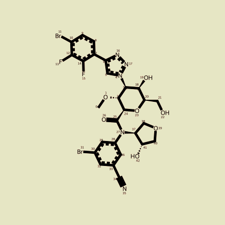 CO[C@@H]1[C@@H](n2cc(-c3ccc(Br)c(F)c3F)nn2)[C@@H](O)[C@@H](CO)O[C@H]1C(=O)N(c1cc(Br)cc(C#N)c1)[C@H]1COC[C@@H]1O